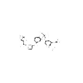 [2H]C1([2H])COc2ccc(OC3CCN(C(=O)c4cn(C)cn4)C3)cc2N1c1cnc(OC)c(C#N)c1